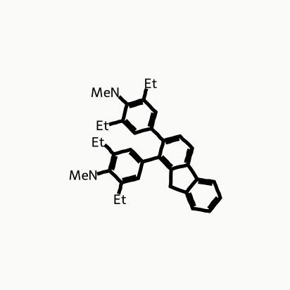 CCc1cc(-c2ccc3c(c2-c2cc(CC)c(NC)c(CC)c2)Cc2ccccc2-3)cc(CC)c1NC